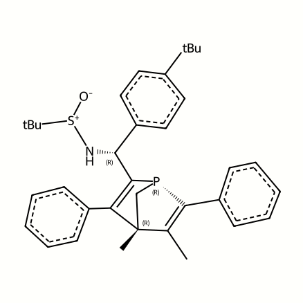 CC1=C(c2ccccc2)[P@]2C[C@@]1(C)C(c1ccccc1)=C2[C@H](N[S+]([O-])C(C)(C)C)c1ccc(C(C)(C)C)cc1